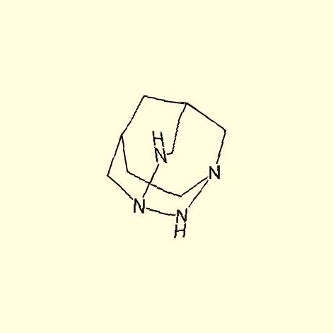 C1CN2CC3CNN(CC1C3)N2